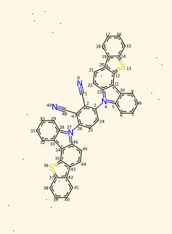 N#Cc1c(-n2c3ccccc3c3c4sc5ccccc5c4ccc32)ccc(-n2c3ccccc3c3c4sc5ccccc5c4ccc32)c1C#N